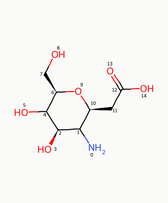 NC1[C@@H](O)C(O)[C@@H](CO)O[C@H]1CC(=O)O